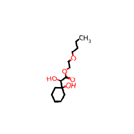 CCCCOCCOC(=O)C(O)C1(O)CCCCC1